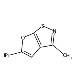 Cc1nsc2oc(C(C)C)cc12